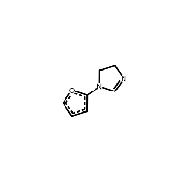 C1=NCCN1c1ccco1